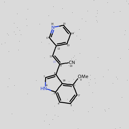 COc1cccc2[nH]cc(/C(C#N)=C/c3cccnc3)c12